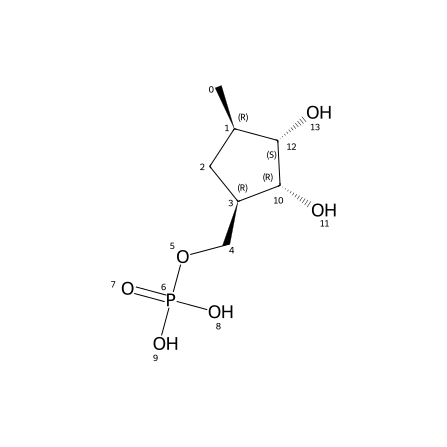 C[C@@H]1C[C@H](COP(=O)(O)O)[C@@H](O)[C@H]1O